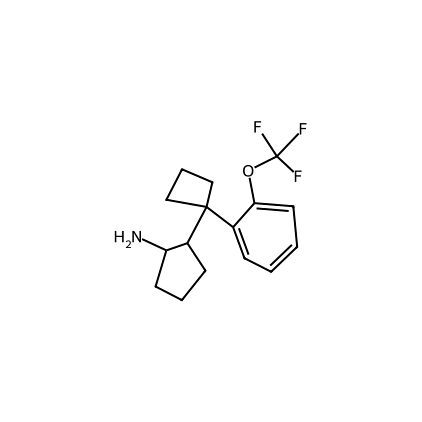 NC1CCCC1C1(c2ccccc2OC(F)(F)F)CCC1